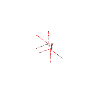 CCCCCCCCCCCCCCCCCCSc1cc(Nc2nc(Nc3cc(SCCCCCCCCCCCCCCCCCC)c(SCCCCCCCCCCCCCCCCCC)c(SCCCCCCCCCCCCCCCCCC)c3)nc(-c3ccc(CC)cc3)n2)cc(SCCCCCCCCCCCCCCCCCC)c1SCCCCCCCCCCCCCCCCCC